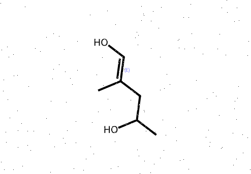 C/C(=C\O)CC(C)O